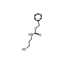 N#CCCCNC(=O)OCc1ccccc1